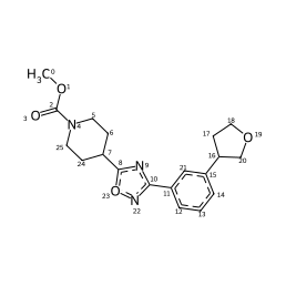 COC(=O)N1CCC(c2nc(-c3cccc(C4CCOC4)c3)no2)CC1